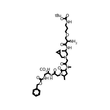 CC(CN(CC(=O)N(C)C1CC(C)N(CC(=O)NC(CNC(=O)OCc2ccccc2)C(=O)O)C1=O)CC1CC1)NC(=O)C(N)COCCCNC(=O)OC(C)(C)C